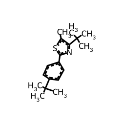 Cc1sc(-c2ccc(C(C)(C)C)cc2)nc1C(C)(C)C